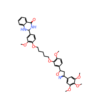 COc1cc(C2NC(=O)c3ccccc3N2)ccc1OCCCCCOc1cc(C2CC(c3cc(OC)c(OC)c(OC)c3)=NO2)ccc1OC